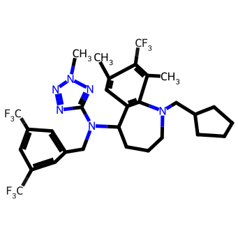 Cc1cc2c(c(C)c1C(F)(F)F)N(CC1CCCC1)CCCC2N(Cc1cc(C(F)(F)F)cc(C(F)(F)F)c1)c1nnn(C)n1